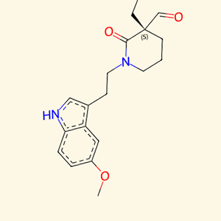 CC[C@@]1(C=O)CCCN(CCc2c[nH]c3ccc(OC)cc23)C1=O